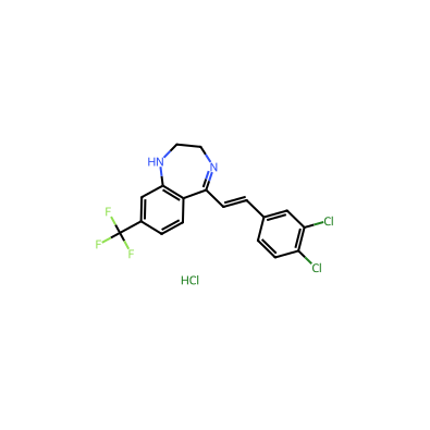 Cl.FC(F)(F)c1ccc2c(c1)NCCN=C2C=Cc1ccc(Cl)c(Cl)c1